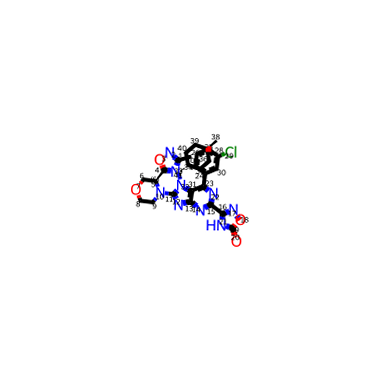 Cc1noc([C@@H]2COCCN2c2nc3nc(-c4noc(=O)[nH]4)nc(-c4cccc(Cl)c4)c3n2C[C@H]2CC[C@H](C)CC2)n1